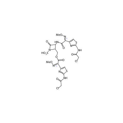 CO/N=C(\C(=O)NC1C(=O)N(S(=O)(=O)O)C1COC(=O)/C(=N\OC)c1csc(NC(=O)CCl)n1)c1csc(NC(=O)CCl)n1